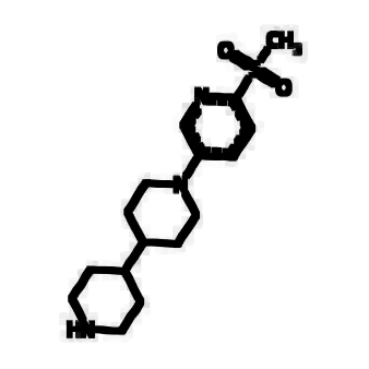 CS(=O)(=O)c1ccc(N2CCC(C3CCNCC3)CC2)cn1